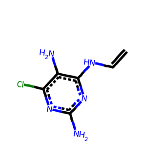 C=CNc1nc(N)nc(Cl)c1N